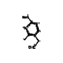 CSc1ncc(CC=O)c(C)n1